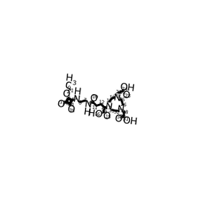 CCOc1c(NCCNC(=O)CCC(C(=O)O)N2CCN(CC(=O)O)CCN(CC(=O)O)CC2)c(=O)c1=O